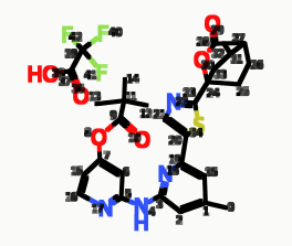 Cc1cc(Nc2cc(OC(=O)C(C)(C)C)ccn2)nc(-c2cnc(C34CCC(C(=O)O3)C(C)C4)s2)c1.O=C(O)C(F)(F)F